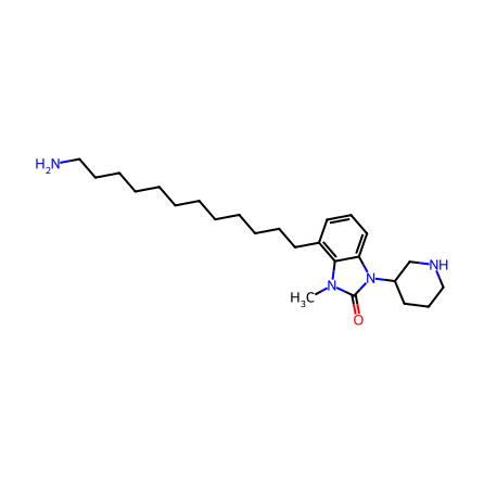 Cn1c(=O)n(C2CCCNC2)c2cccc(CCCCCCCCCCCCN)c21